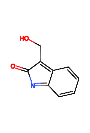 O=C1N=c2ccccc2=C1CO